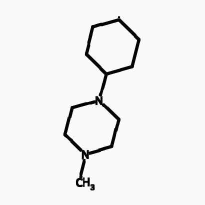 CN1CCN(C2CC[CH]CC2)CC1